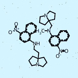 CN(CC12CCCN1CCC2)c1ccc([N+](=O)[O-])c2ccccc12.O=[N+]([O-])c1ccc(NCCC23CCCN2CCC3)c2ccccc12